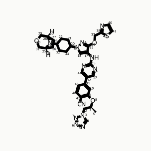 C[C@@H](Cn1cnnn1)Oc1cc(-c2cnc(Nc3cn(C4CCC(N5[C@@H]6CC[C@H]5COC6)CC4)nc3OCc3nccs3)nc2)ccc1C#N